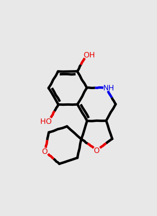 OC1=CC=C(O)C2NCC3COC4(CCOCC4)C3=C12